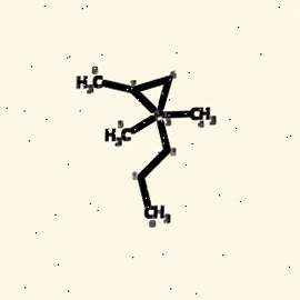 CCCP1(C)(C)CC1C